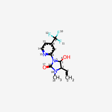 C=CC1C(O)N(c2cc(C(F)(F)F)ccn2)C(=O)N1C